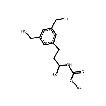 CC(CCc1cc(CO)cc(CO)c1)NC(=O)OC(C)(C)C